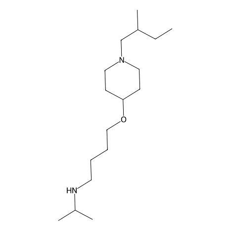 CCC(C)CN1CCC(OCCCCNC(C)C)CC1